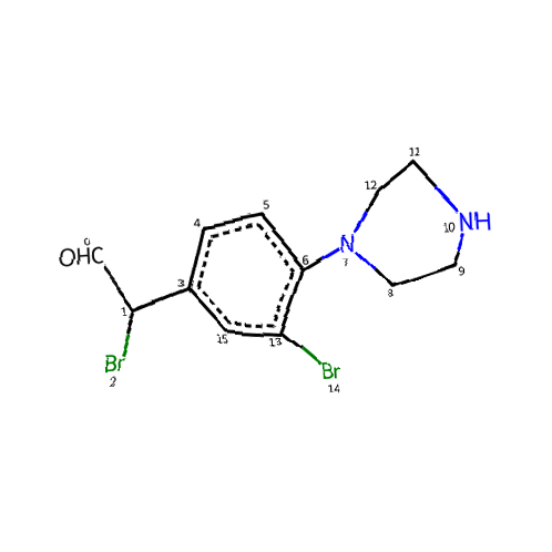 O=CC(Br)c1ccc(N2CCNCC2)c(Br)c1